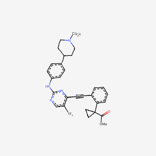 COC(=O)C1(c2ccccc2C#Cc2nc(Nc3ccc(C4CCN(C(=O)O)CC4)cc3)ncc2C(F)(F)F)CC1